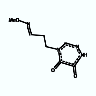 CO/N=C/CCn1[c]n[nH]c(=O)c1=O